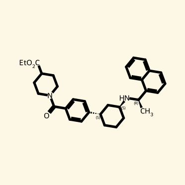 CCOC(=O)C1CCN(C(=O)c2ccc([C@H]3CCC[C@H](N[C@H](C)c4cccc5ccccc45)C3)cc2)CC1